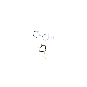 CS(=O)(=O)c1cc(F)c(O[C@@H]2CNCCC2N2CCCC2=O)cc1F